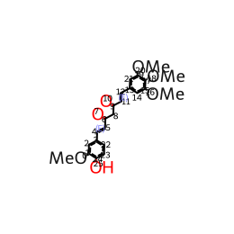 COc1cc(/C=C/C(=O)CC(=O)/C=C/c2cc(OC)c(OC)c(OC)c2)ccc1O